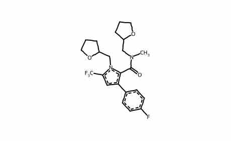 CN(CC1CCCO1)C(=O)c1c(-c2ccc(F)cc2)cc(C(F)(F)F)n1CC1CCCO1